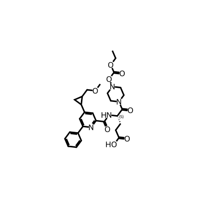 CCOC(=O)ON1CCN(C(=O)[C@H](CCC(=O)O)NC(=O)c2cc(C3CC3COC)cc(-c3ccccc3)n2)CC1